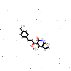 Cc1c(C(=O)/C=C/c2ccc(CF)cc2)c(=O)[nH]c2sccc12